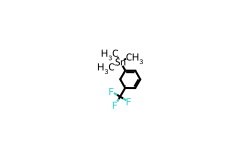 [CH3][Sn]([CH3])([CH3])[C]1=CC=C[C](C(F)(F)F)C1